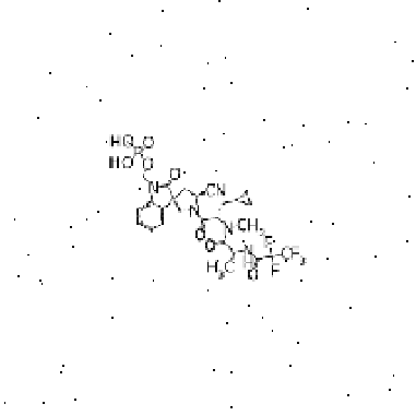 C[C@H](NC(=O)C(F)(F)C(F)(F)F)C(=O)N(C)[C@@H](CC1CC1)C(=O)N1C[C@]2(C[C@H]1C#N)C(=O)N(COP(=O)(O)O)c1ccccc12